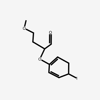 COCCC(C=O)OC1=CCC(I)C=C1